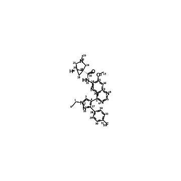 CCn1cc(-c2ncnc3cc(OC)c(NC(=O)[C@]45C[C@H]4CN(C)C5)nc23)c(-c2ccc(F)cc2)n1